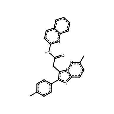 Cc1ccc(-c2nc3ccc(C)nn3c2CC(=O)Nc2ccc3ccccc3n2)cc1